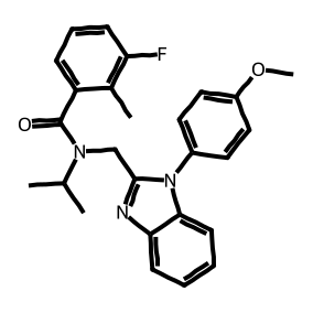 COc1ccc(-n2c(CN(C(=O)c3cccc(F)c3C)C(C)C)nc3ccccc32)cc1